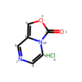 Cl.O=c1occ2cnccn12